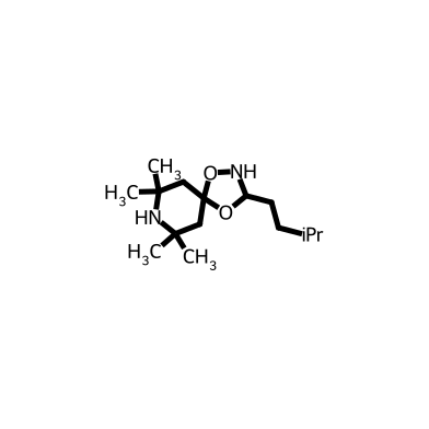 CC(C)CCC1NOC2(CC(C)(C)NC(C)(C)C2)O1